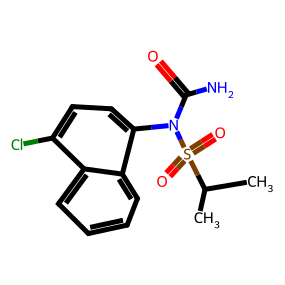 CC(C)S(=O)(=O)N(C(N)=O)c1ccc(Cl)c2ccccc12